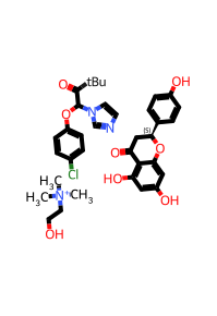 CC(C)(C)C(=O)C(Oc1ccc(Cl)cc1)n1ccnc1.C[N+](C)(C)CCO.O=C1C[C@@H](c2ccc(O)cc2)Oc2cc(O)cc(O)c21